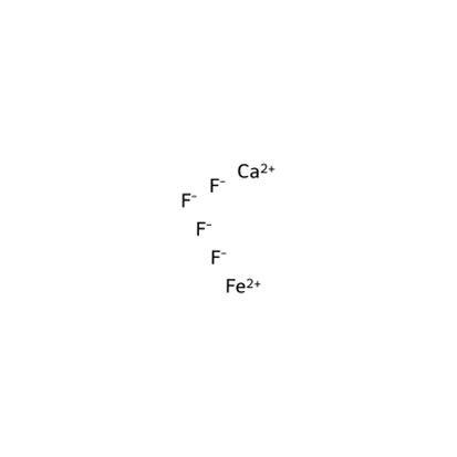 [Ca+2].[F-].[F-].[F-].[F-].[Fe+2]